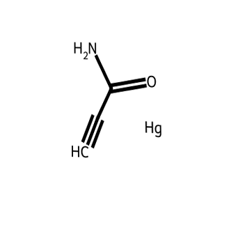 C#CC(N)=O.[Hg]